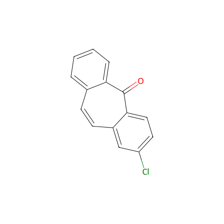 O=c1c2ccccc2ccc2cc(Cl)ccc12